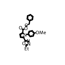 CCc1nnc(-c2ccc(C(=O)OOCc3ccccc3)n2-c2ccc(OC)cc2)o1